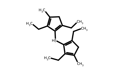 CCC1=[C]([Hf][C]2=C(CC)CC(C)=C2CC)C(CC)=C(C)C1